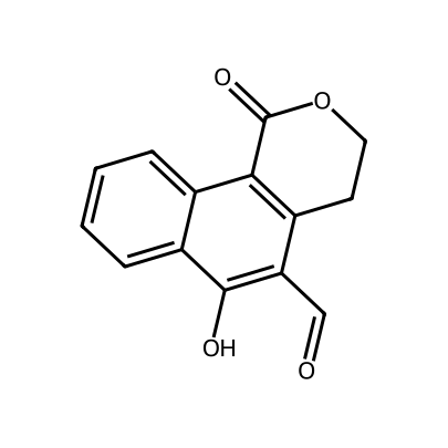 O=Cc1c2c(c3ccccc3c1O)C(=O)OCC2